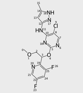 COCC(Oc1ncc(Cl)c(Nc2cc(C)[nH]n2)n1)c1ncc(F)cc1F